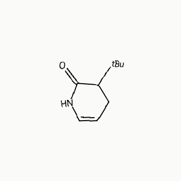 CC(C)(C)C1CC=CNC1=O